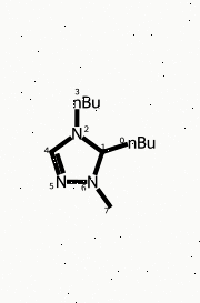 CCCCC1N(CCCC)C=NN1C